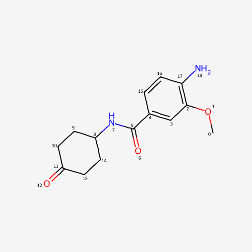 COc1cc(C(=O)NC2CCC(=O)CC2)ccc1N